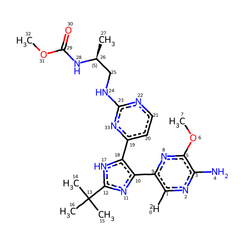 [2H]c1nc(N)c(OC)nc1-c1nc(C(C)(C)C)[nH]c1-c1ccnc(NC[C@H](C)NC(=O)OC)n1